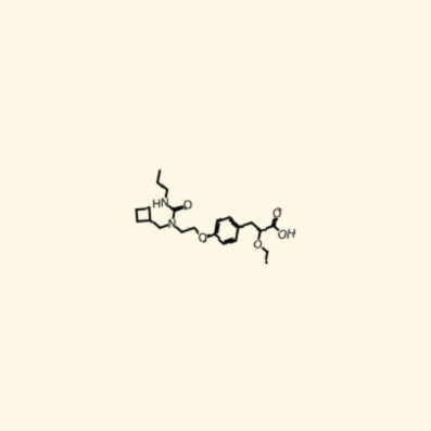 CCCNC(=O)N(CCOc1ccc(CC(OCC)C(=O)O)cc1)CC1CCC1